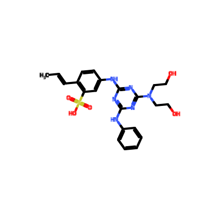 CC=Cc1ccc(Nc2nc(Nc3ccccc3)nc(N(CCO)CCO)n2)cc1S(=O)(=O)O